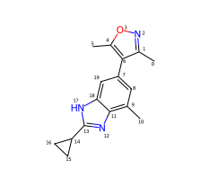 Cc1noc(C)c1-c1cc(C)c2nc(C3CC3)[nH]c2c1